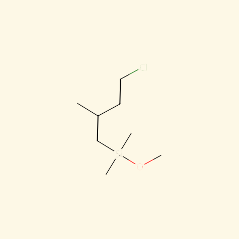 CO[Si](C)(C)CC(C)CCCl